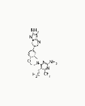 C=Cc1c(N2CCOc3ccc(-c4cnc5sc(N)nc5c4)cc3C2)nc(N)nc1C(F)(F)F